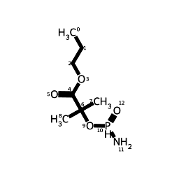 CCCOC(=O)C(C)(C)O[PH](N)=O